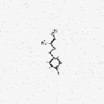 CCO/C=C(\C#N)SCc1ccc(C)cc1